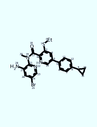 CCSc1cc(-c2ccc(C3CC3)cc2)cnc1C(=O)N(C)c1ncc(Br)cc1N